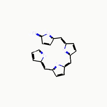 N=C1C=CC(C=C2C=CC(C=C3C=CC(C=C4C=CC=N4)=N3)=N2)=N1